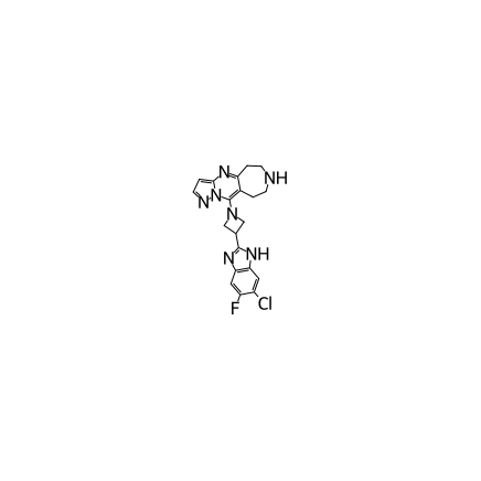 Fc1cc2nc(C3CN(c4c5c(nc6ccnn46)CCNCC5)C3)[nH]c2cc1Cl